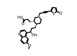 COc1ccc2nccc([C@H](O)CC[C@@H]3CCN(CC#Cc4ccc(Cl)s4)C[C@H]3CCC(=O)O)c2c1